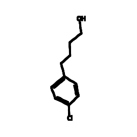 OCCCCc1ccc(Cl)cc1